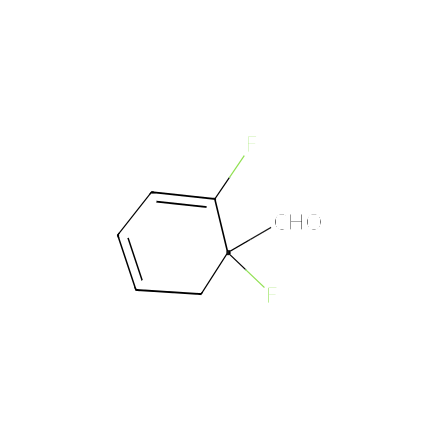 O=CC1(F)CC=CC=C1F